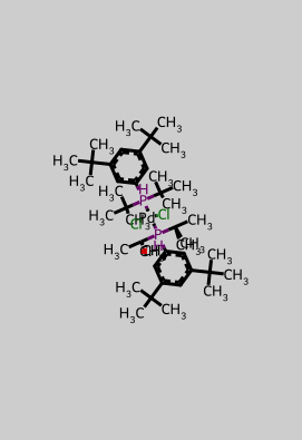 CC(C)(C)c1cc(C(C)(C)C)cc([PH](C(C)(C)C)(C(C)(C)C)[Pd]([Cl])([Cl])[PH](c2cc(C(C)(C)C)cc(C(C)(C)C)c2)(C(C)(C)C)C(C)(C)C)c1